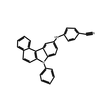 N#Cc1ccc(Nc2ccc3c(c2)c2c4ccccc4ccc2n3-c2ccccc2)cc1